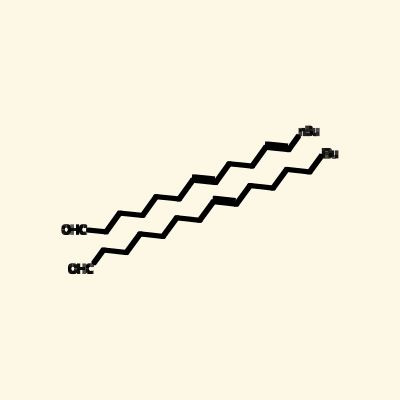 CCC(C)CCCCC=CCCCCCCC=O.CCCCC=CCCC=CCCCCCC=O